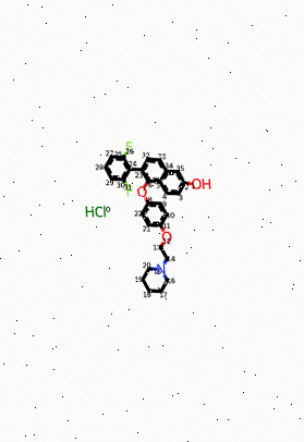 Cl.Oc1ccc2c(Oc3ccc(OCCN4CCCCC4)cc3)c(-c3c(F)cccc3F)ccc2c1